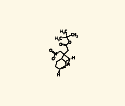 CC(C)(C)OC(=O)CC1(C[N+](=O)[O-])C2CC[C@H]3C[C@@H]2[C@@H]1C3